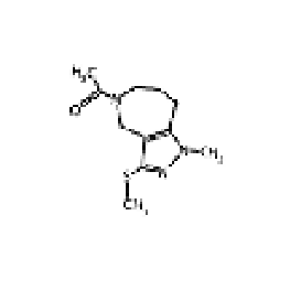 CSc1nn(C)c2c1CN(C(C)=O)CCC2